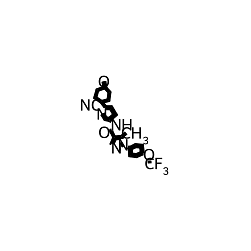 Cc1c(C(=O)Nc2ccc(C3(C#N)CCC(=O)CC3)nc2)cnn1-c1ccc(OC(F)(F)F)cc1